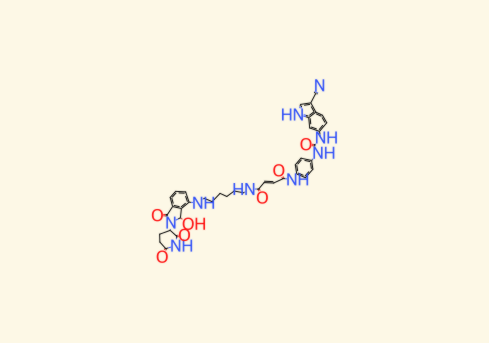 N#Cc1c[nH]c2cc(NC(=O)Nc3ccc(NC(=O)/C=C/C(=O)NCCCCCCNc4cccc5c4C(O)N(C4CCC(=O)NC4=O)C5=O)cc3)ccc12